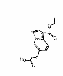 CCOC(=O)c1cnn2cc(OCC(=O)O)ccc12